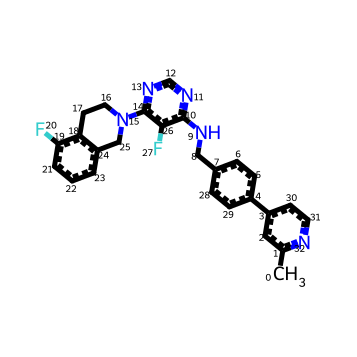 Cc1cc(-c2ccc(CNc3ncnc(N4CCc5c(F)cccc5C4)c3F)cc2)ccn1